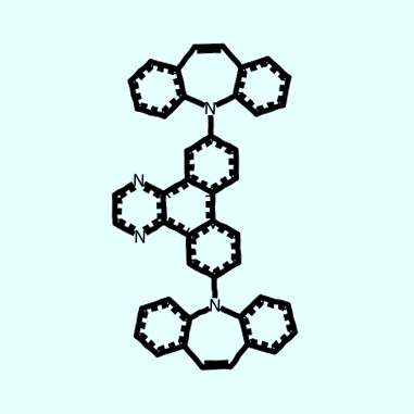 C1=Cc2ccccc2N(c2ccc3c4ccc(N5c6ccccc6C=Cc6ccccc65)cc4c4nccnc4c3c2)c2ccccc21